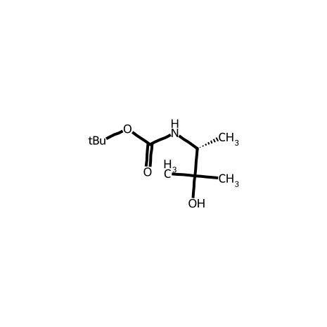 C[C@@H](NC(=O)OC(C)(C)C)C(C)(C)O